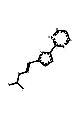 CC(C)C/C=C/c1ccc(-c2ncccn2)s1